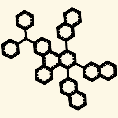 c1ccc(N(c2ccccc2)c2ccc3c(c2)c2ccccc2c2c(-c4ccc5ccccc5c4)c(-c4ccc5ccccc5c4)cc(-c4ccc5ccccc5c4)c32)cc1